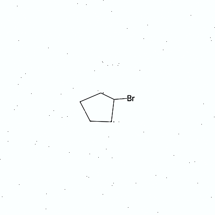 BrC1[CH]CC[CH]1